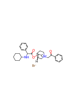 O=C(C[N+]12CCC(CC1)[C@@H](OC(=O)C(NC1CCCCC1)c1ccccc1)C2)c1ccccc1.[Br-]